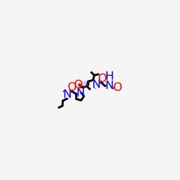 CCCCN(C)C(=O)C1CCCN1C(=O)/C(C)=C/C(C(C)C)N(C)C(=O)CNC=O